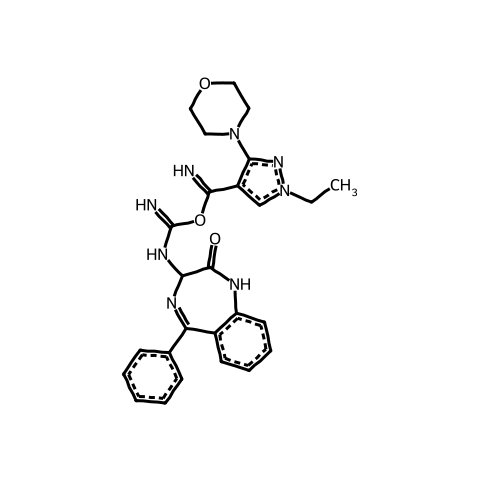 CCn1cc(C(=N)OC(=N)NC2N=C(c3ccccc3)c3ccccc3NC2=O)c(N2CCOCC2)n1